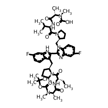 CC[C@H](NC(=O)[C@H](C)N(C)C(=O)OC(C)(C)C)C(=O)N1CCC[C@H]1Cc1c(-c2nc3cc(F)ccc3n2C[C@@H]2CCCN2C(=O)[C@@H](NC(=O)[C@H](C)N(C)C(=O)O)C(C)C)[nH]c2cc(F)ccc12